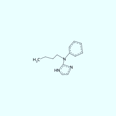 CCCCN(c1ccccc1)c1ncc[nH]1